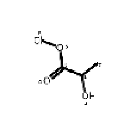 CC(O)C(=O)OCl